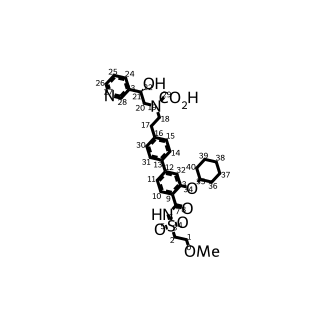 COCCS(=O)(=O)NC(=O)c1ccc(-c2ccc(CCN(C[C@@H](O)c3cccnc3)C(=O)O)cc2)cc1OC1CCCCC1